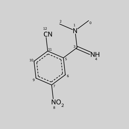 CN(C)C(=N)c1cc([N+](=O)[O-])ccc1C#N